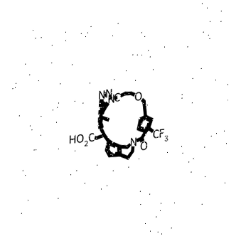 Cc1c2ccc3c1nnn3CCCOCc1ccc(c(C(F)(F)F)c1)C(=O)N1CCc3ccc(cc3C1)C2CC(=O)O